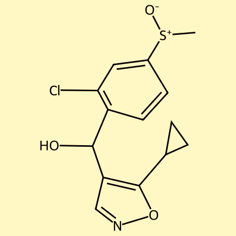 C[S+]([O-])c1ccc(C(O)c2cnoc2C2CC2)c(Cl)c1